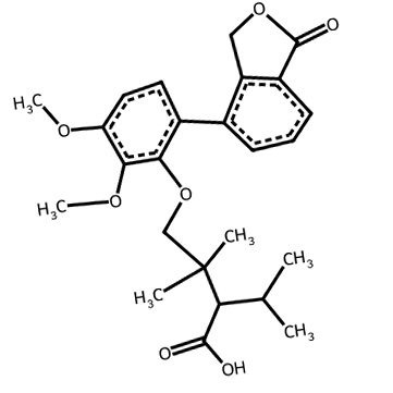 COc1ccc(-c2cccc3c2COC3=O)c(OCC(C)(C)C(C(=O)O)C(C)C)c1OC